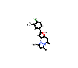 CCCCc1cc(C)n(C(C)Cc2ccc(-c3ccc(Cl)c(C(F)(F)F)c3)o2)n1